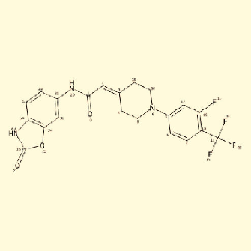 O=C(C=C1CCN(c2ccc(C(F)(F)F)c(F)c2)CC1)Nc1ccc2[nH]c(=O)oc2c1